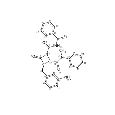 CCC(NC(=O)N1C(=O)[C@H](Cc2ccnc(N)c2)[C@H]1C(=O)N(C)c1ccccc1)c1cccnc1